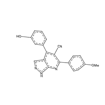 COc1ccc(-c2nc3[nH]ncc3c(-c3cccc(O)c3)c2C#N)cc1